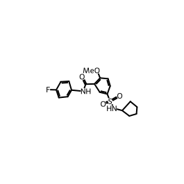 COc1ccc(S(=O)(=O)NC2CCCC2)cc1C(=O)Nc1ccc(F)cc1